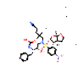 CC(C)(CCC#N)CN(C[C@@H](O)[C@H](Cc1ccccc1)NC(=O)O)S(=O)(=O)c1ccc([N+](=O)[O-])cc1[C@@H]1CO[C@H]2OCC[C@H]21